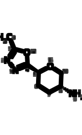 Cc1nnc([C@@H]2CC[C@@H](N)CO2)o1